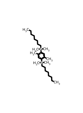 CCCCCCCC[Si](C)(C)c1cc(C)c([Si](C)(C)CCCCCCCC)cc1C